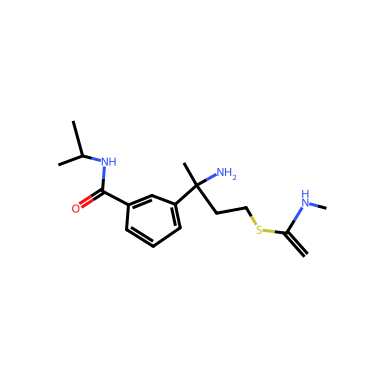 C=C(NC)SCCC(C)(N)c1cccc(C(=O)NC(C)C)c1